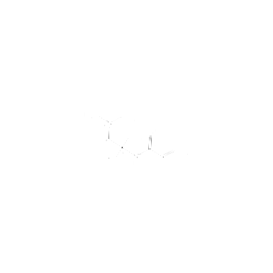 C=CC(=O)NC(C)(C)CN(C)C